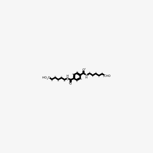 O=CCCCCCNC(=O)c1ccc(C(=O)NCCCCCC(=O)O)cc1